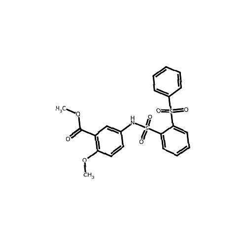 COC(=O)c1cc(NS(=O)(=O)c2ccccc2S(=O)(=O)c2ccccc2)ccc1OC